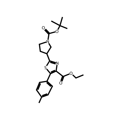 CCOC(=O)c1nc(C2CCN(C(=O)OC(C)(C)C)C2)sc1-c1ccc(C)cc1